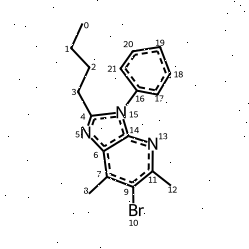 CCCCc1nc2c(C)c(Br)c(C)nc2n1-c1c[c]ccc1